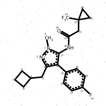 Cn1nc(CC2CCC2)c(-c2ccc(F)cc2)c1NC(=O)CC1(C(F)(F)F)CC1